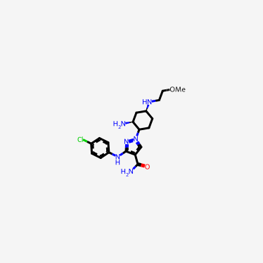 COCCN[C@H]1CCC(n2cc(C(N)=O)c(Nc3ccc(Cl)cc3)n2)[C@@H](N)C1